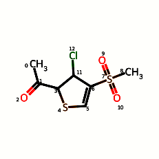 CC(=O)C1SC=C(S(C)(=O)=O)C1Cl